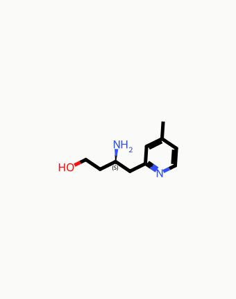 Cc1ccnc(C[C@H](N)CCO)c1